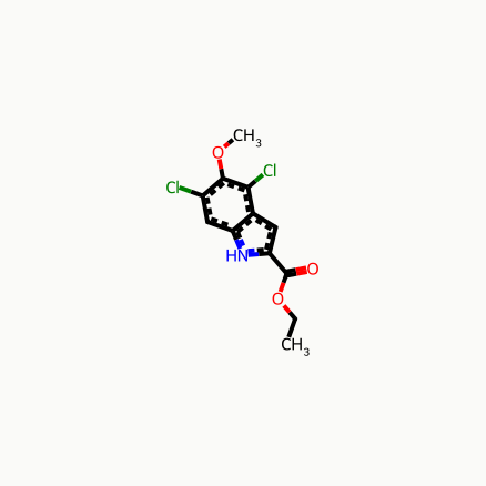 CCOC(=O)c1cc2c(Cl)c(OC)c(Cl)cc2[nH]1